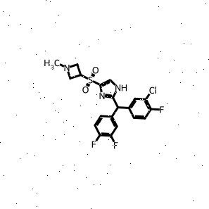 CN1CC(S(=O)(=O)c2c[nH]c(C(c3ccc(F)c(F)c3)c3ccc(F)c(Cl)c3)n2)C1